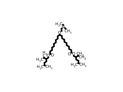 CCN(CC)CCOC(CCCCCCCCCC(=O)OCC(CCC(C)C)C(C)C)CCCCCCCCCC(=O)OCC(CCC(C)C)C(C)C